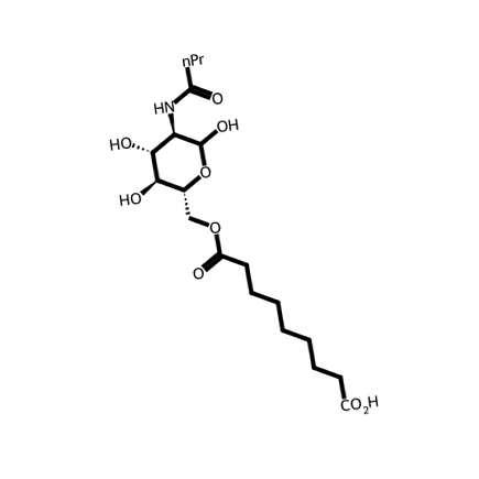 CCCC(=O)N[C@H]1C(O)O[C@H](COC(=O)CCCCCCCC(=O)O)[C@@H](O)[C@@H]1O